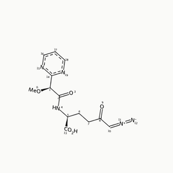 CO[C@H](C(=O)N[C@@H](CCC(=O)C=[N+]=[N-])C(=O)O)c1ncccn1